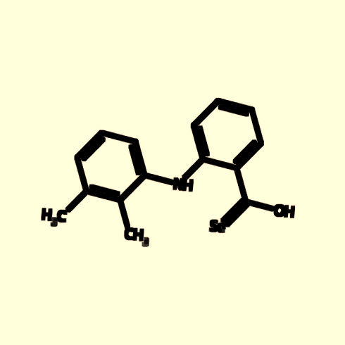 Cc1cccc(Nc2ccccc2C(O)=[Se])c1C